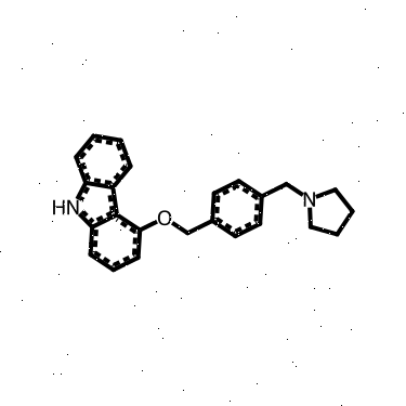 c1ccc2c(c1)[nH]c1cccc(OCc3ccc(CN4CCCC4)cc3)c12